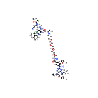 C=C(F)C(=O)N1CCN(c2nc(OC[C@@H]3CCCN3CCCOCCOCCOCCOCCNC(=O)c3ccc(Nc4ncc5c(n4)N(C4CCCC4)[C@H](CC)C(=O)N5C)c(OC)c3)nc3c2CCN(c2cccc4cccc(Cl)c24)C3)C[C@@H]1CC#N